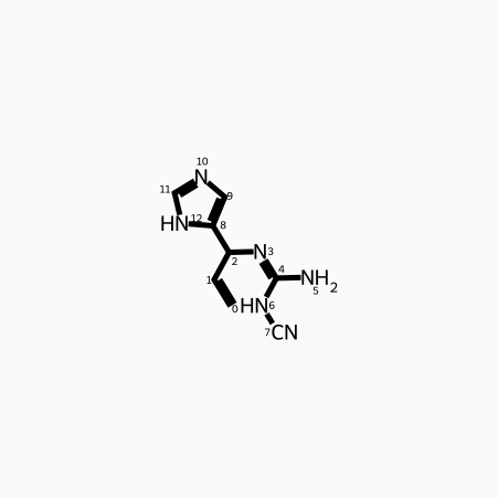 C=CC(N=C(N)NC#N)c1cnc[nH]1